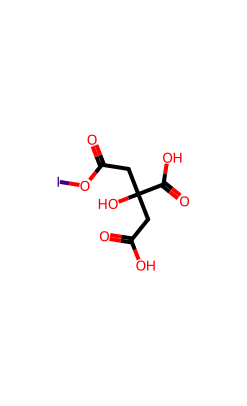 O=C(O)CC(O)(CC(=O)OI)C(=O)O